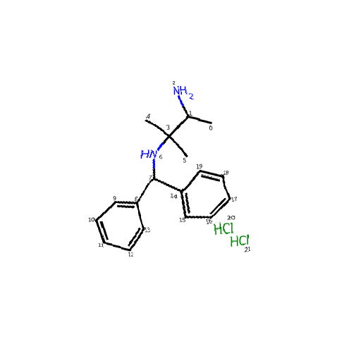 CC(N)C(C)(C)NC(c1ccccc1)c1ccccc1.Cl.Cl